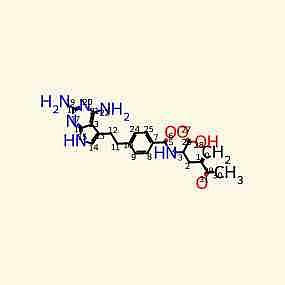 C=C(CC(NC(=O)c1ccc(CCc2c[nH]c3nc(N)nc(N)c23)cc1)C(=O)O)C(C)=O